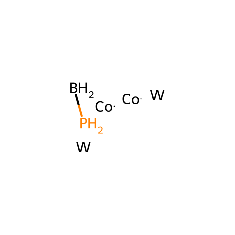 BP.[Co].[Co].[W].[W]